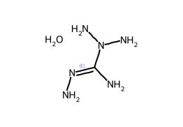 N/N=C(\N)N(N)N.O